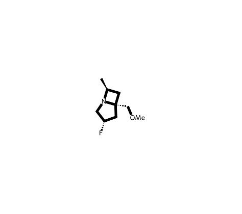 COC[C@]12C[C@H](F)CN1[C@@H](C)C2